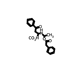 CC(NC(CC(=O)c1ccccc1)C(=O)O)OC(=O)Cc1ccccc1